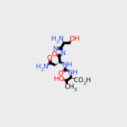 CC(O)[C@H](NC(=O)N[C@H](CC(N)=O)c1nc([C@H](N)CO)no1)C(=O)O